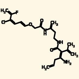 C=CC/C(N)=C(/C(=C)C)C(=O)NCCC(=C)NC(=O)CO/C=C/C=C(/Cl)C(=C)F